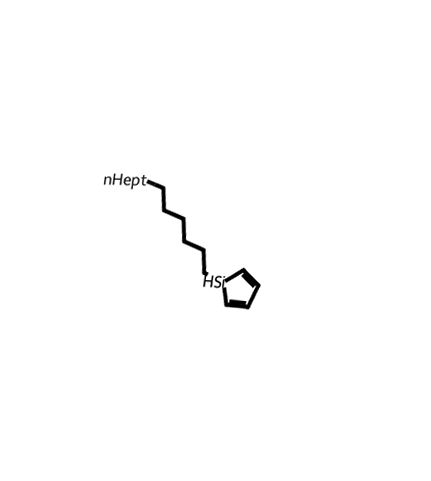 CCCCCCCCCCCCC[SiH]1C=CC=C1